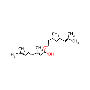 CC(C)=CCC/C(C)=C/C(O)OCC[C@H](C)CCC=C(C)C